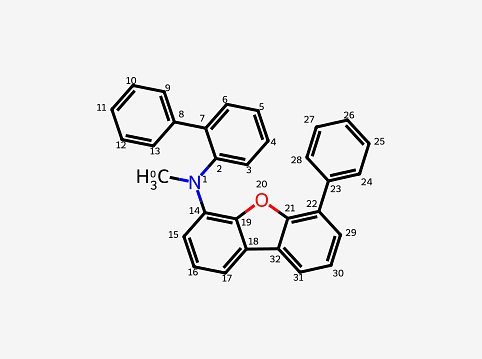 CN(c1ccccc1-c1ccccc1)c1cccc2c1oc1c(-c3ccccc3)cccc12